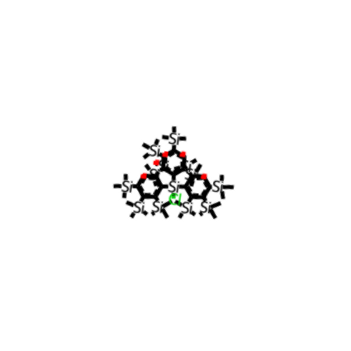 C[Si](C)(C)c1cc([Si](C)(C)C)c([Si](Cl)(c2c([Si](C)(C)C)cc([Si](C)(C)C)c([Si](C)(C)C)c2[Si](C)(C)C)c2c([Si](C)(C)C)cc([Si](C)(C)C)c([Si](C)(C)C)c2[Si](C)(C)C)c([Si](C)(C)C)c1[Si](C)(C)C